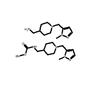 Cn1nccc1CN1CCC(CN)CC1.Cn1nccc1CN1CCC(CNC(=O)OC(C)(C)C)CC1